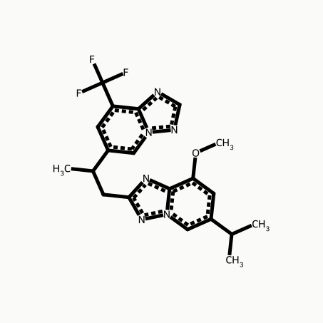 COc1cc(C(C)C)cn2nc(CC(C)c3cc(C(F)(F)F)c4ncnn4c3)nc12